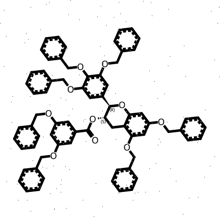 O=C(O[C@H]1Cc2c(OCc3ccccc3)cc(OCc3ccccc3)cc2O[C@@H]1c1cc(OCc2ccccc2)c(OCc2ccccc2)c(OCc2ccccc2)c1)c1cc(OCc2ccccc2)cc(OCc2ccccc2)c1